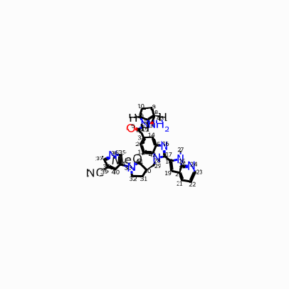 COc1cc(C(=O)N2C[C@H]3CC[C@@H]2[C@@H]3N)cc2nc(-c3cc4cccnc4n3C)n(C[C@H]3CCN(c4cncc(C#N)c4)C3)c12